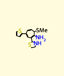 CSC1C=CC(c2cccs2)=CC(C2NCCS2)=C1N